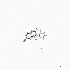 CCc1nc2ccc(F)cc2c(C)c1-c1ccccc1